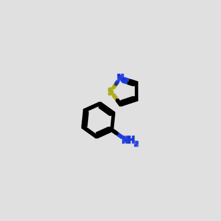 Nc1ccccc1.c1cnsc1